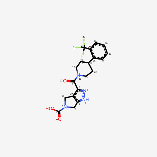 O=C(O)N1Cc2[nH]nc(C(=O)N3CCC(c4ccccc4C(F)(F)F)CC3)c2C1